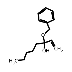 C=CC(O)(CCCCC)OCc1ccccc1